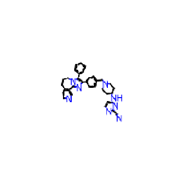 N#Cc1nccc(NC2CCN(Cc3ccc(-c4nc5n(c4-c4ccccc4)CCCc4ccncc4-5)cc3)CC2)n1